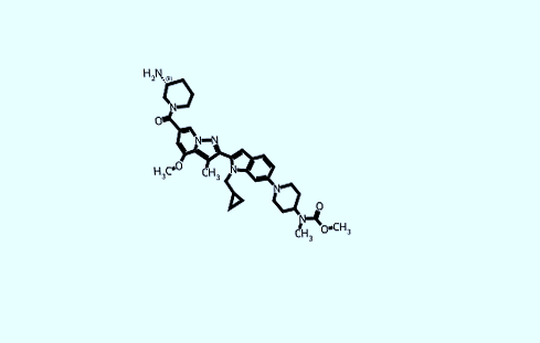 COC(=O)N(C)C1CCN(c2ccc3cc(-c4nn5cc(C(=O)N6CCC[C@@H](N)C6)cc(OC)c5c4C)n(CC4CC4)c3c2)CC1